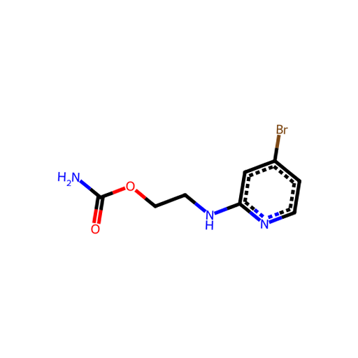 NC(=O)OCCNc1cc(Br)ccn1